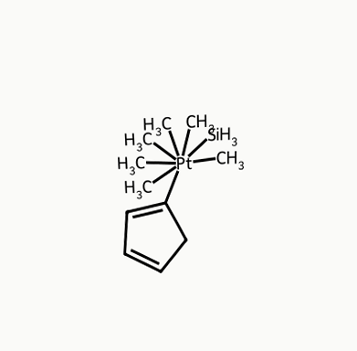 [CH3][Pt]([CH3])([CH3])([CH3])([CH3])([CH3])([SiH3])[C]1=CC=CC1